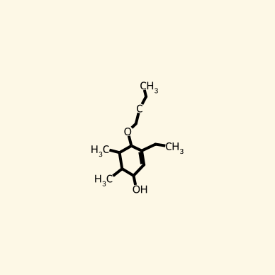 CCCCOC1C(CC)=CC(O)C(C)C1C